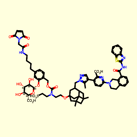 Cc1c(-c2ccc(N3CCc4cccc(C(=O)Nc5nc6ccccc6s5)c4C3)nc2C(=O)O)cnn1CC12CC3(OCCN(CCS(=O)(=O)O)C(=O)OCc4ccc(CCCCNC(=O)CN5C(=O)C=CC5=O)cc4O[C@@H]4O[C@H](C(=O)O)[C@@H](O)[C@H](O)[C@H]4O)CC4(C)CC(C)(C1)C4(C2)C3